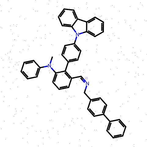 CN(c1ccccc1)c1cccc(/C=N\Cc2ccc(-c3ccccc3)cc2)c1-c1ccc(-n2c3ccccc3c3ccccc32)cc1